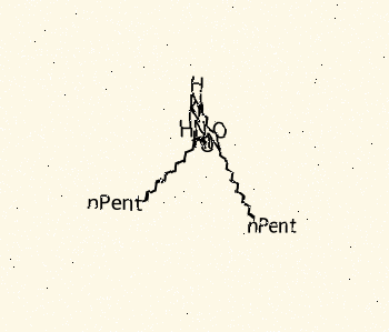 CCCCCC=CCC=CCCCCCCCCNC(=O)C(Cc1c[nH]cn1)NC(=O)CCCCCCCC=CCC=CCCCCC